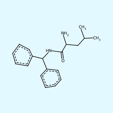 CC(C)CC(N)C(=O)NC(c1ccccc1)c1ccccc1